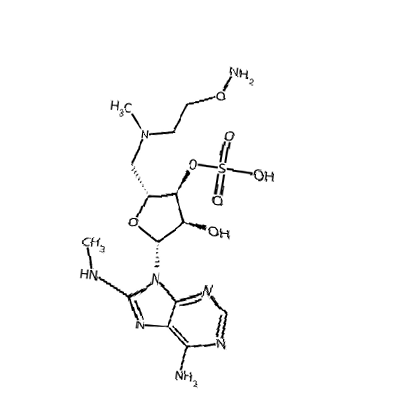 CNc1nc2c(N)ncnc2n1[C@@H]1O[C@H](CN(C)CCON)[C@@H](OS(=O)(=O)O)[C@H]1O